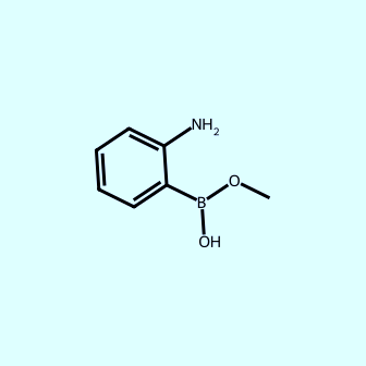 COB(O)c1ccccc1N